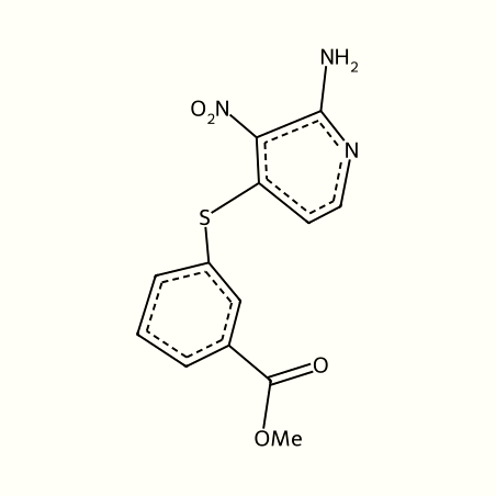 COC(=O)c1cccc(Sc2ccnc(N)c2[N+](=O)[O-])c1